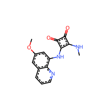 CNc1c(Nc2cc(OC)cc3cccnc23)c(=O)c1=O